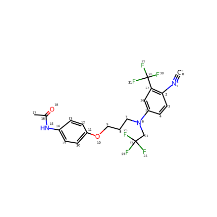 [C-]#[N+]c1ccc(N(CCCOc2ccc(NC(C)=O)cc2)CC(F)(F)F)cc1C(F)(F)F